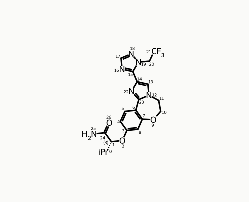 CC(C)[C@@H](Oc1ccc2c(c1)OCCn1cc(-c3ncnn3CC(F)(F)F)nc1-2)C(N)=O